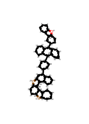 c1ccc2c(c1)oc1ccc(-c3c4ccccc4c(-c4ccc(-c5cc6sc7ccc8sc9ccccc9c8c7c6c6ccccc56)cc4)c4ccccc34)cc12